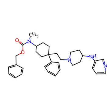 CN(C(=O)OCc1ccccc1)C1CCC(CCN2CCC(Nc3cccnc3)CC2)(c2ccccc2)CC1